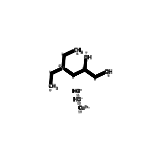 CCN(CC)CC(O)CO.[Cu+2].[OH-].[OH-]